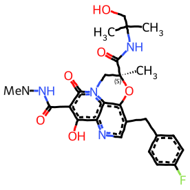 CNNC(=O)c1c(O)c2ncc(Cc3ccc(F)cc3)c3c2n(c1=O)C[C@@](C)(C(=O)NC(C)(C)CO)O3